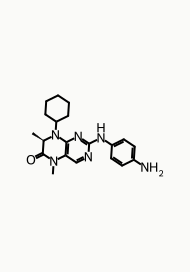 C[C@@H]1C(=O)N(C)c2cnc(Nc3ccc(N)cc3)nc2N1C1CCCCC1